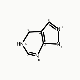 C1=N[N]C2=C1CNC=N2